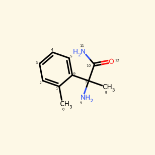 Cc1ccccc1C(C)(N)C(N)=O